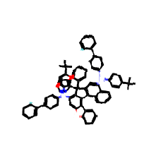 CC(C)(C)c1ccc(N(c2ccc(-c3ccccc3F)cc2)c2cc3oc4ccccc4c3c3c2C(c2ccccc2)(c2ccccc2)c2cc(N(c4ccc(-c5ccccc5F)cc4)c4ccc(C(C)(C)C)cc4)c4ccccc4c2-3)cc1